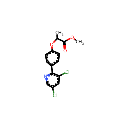 COC(=O)C(C)Oc1ccc(-c2ncc(Cl)cc2Cl)cc1